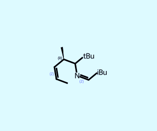 C/C=C\[C@@H](C)C(/N=C\C(C)CC)C(C)(C)C